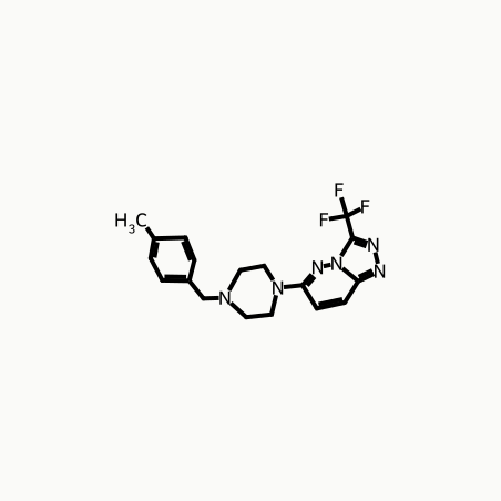 Cc1ccc(CN2CCN(c3ccc4nnc(C(F)(F)F)n4n3)CC2)cc1